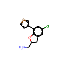 NCC1Cc2cc(Cl)cc(-c3ccsc3)c2O1